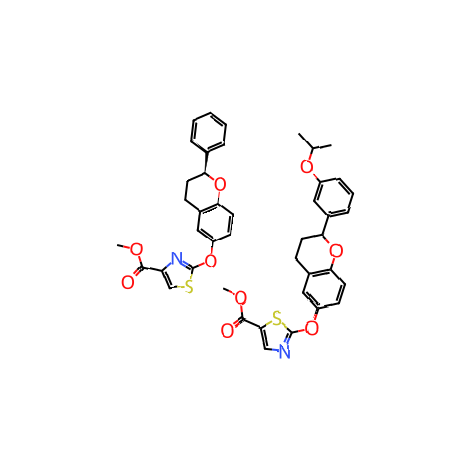 COC(=O)c1cnc(Oc2ccc3c(c2)CCC(c2cccc(OC(C)C)c2)O3)s1.COC(=O)c1csc(Oc2ccc3c(c2)CC[C@@H](c2ccccc2)O3)n1